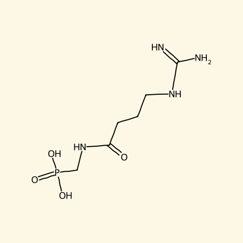 N=C(N)NCCCC(=O)NCP(=O)(O)O